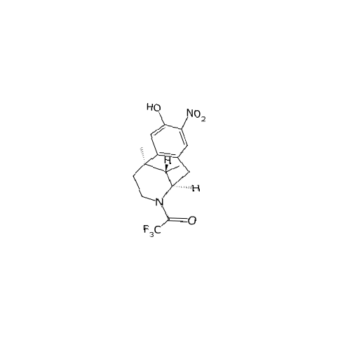 C[C@@H]1[C@H]2Cc3cc([N+](=O)[O-])c(O)cc3[C@]1(C)CCN2C(=O)C(F)(F)F